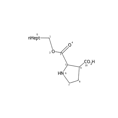 CCCCCCCCOC(=O)C1NCCC1C(=O)O